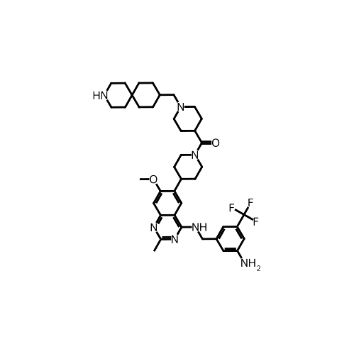 COc1cc2nc(C)nc(NCc3cc(N)cc(C(F)(F)F)c3)c2cc1C1CCN(C(=O)C2CCN(CC3CCC4(CCNCC4)CC3)CC2)CC1